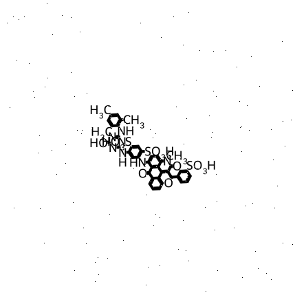 Cc1cc(C)c(Nc2nc(O)nc(Nc3cc(Nc4ccc5c6c4C(=O)c4ccccc4-c6c(C(=O)c4cccc(S(=O)(=O)O)c4)c(=O)n5C)c(S(=O)(=O)O)cc3S(=O)(=O)O)n2)c(C)c1